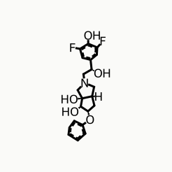 Oc1c(F)cc([C@H](O)CN2C[C@@H]3C[C@@H](Oc4ccccc4)[C@@H](O)[C@]3(O)C2)cc1F